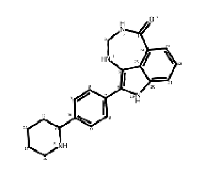 O=C1NCNc2c(-c3ccc(C4CCCCN4)cc3)[nH]c3cccc1c23